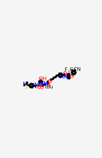 Cc1ncsc1-c1ccc([C@H](C)NC(=O)[C@@H]2C[C@@H](O)CN2C(=O)[C@@H](NC(=O)COCCCCCc2ccc(C(=O)NC3C(C)(C)C(Oc4ccc(C#N)c(C(F)(F)F)c4)C3(C)C)cc2)C(C)(C)C)cc1